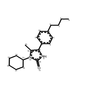 CCCCc1ccc(-c2[nH]c(=O)n(C3CCCCC3)c2C)cc1